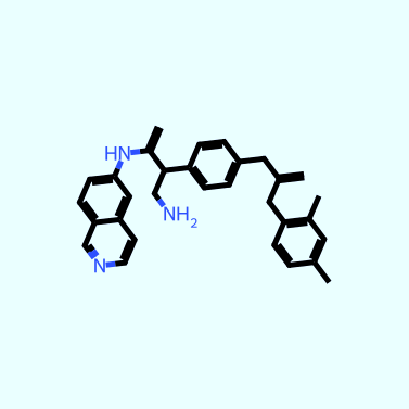 C=C(Cc1ccc(C(CN)C(=C)Nc2ccc3cnccc3c2)cc1)Cc1ccc(C)cc1C